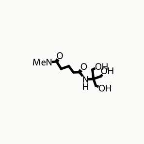 CNC(=O)CCCC(=O)NC(CO)(CO)CO